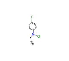 C#CCN(Cl)c1ccc(F)cc1